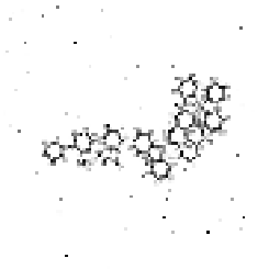 CC1(C)c2cc(-c3ccccc3)ccc2-c2ccc(-c3ccc4c(c3)c3ccccc3n4-c3cc4cc5c(c6ccc7cccc3c7c46)[Si](c3ccccc3)(c3ccccc3)c3ccccc3-5)cc21